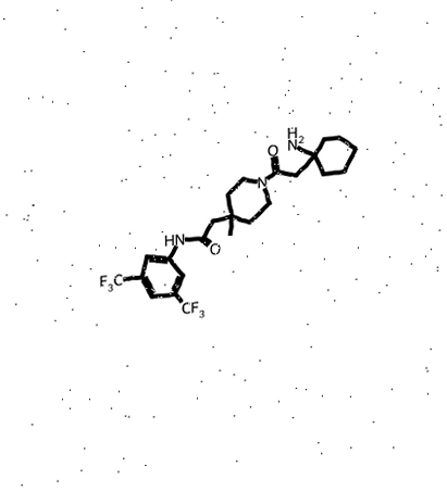 CC1(CC(=O)Nc2cc(C(F)(F)F)cc(C(F)(F)F)c2)CCN(C(=O)CC2(N)CCCCC2)CC1